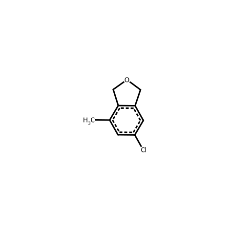 Cc1cc(Cl)cc2c1COC2